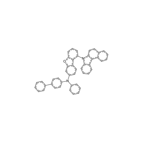 c1ccc(-c2ccc(N(c3ccccc3)c3ccc4c(c3)oc3cccc(-n5c6ccccc6c6c7ccccc7ccc65)c34)cc2)cc1